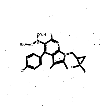 Cc1nc2c(c(C)c(C)n2CC2CC2(F)F)c(-c2ccc(Cl)cc2)c1[C@H](OC(C)(C)C)C(=O)O